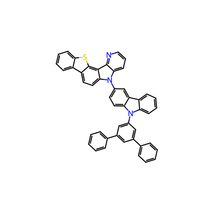 c1ccc(-c2cc(-c3ccccc3)cc(-n3c4ccccc4c4cc(-n5c6cccnc6c6c7sc8ccccc8c7ccc65)ccc43)c2)cc1